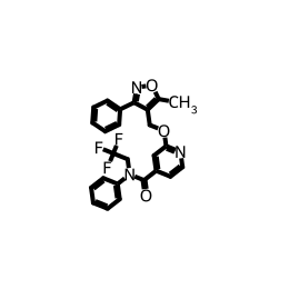 Cc1onc(-c2ccccc2)c1COc1cc(C(=O)N(CC(F)(F)F)c2ccccc2)ccn1